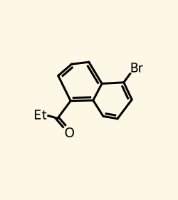 CCC(=O)c1cccc2c(Br)cccc12